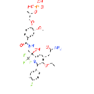 CCOc1c(CC(N)=O)cc([C@@](O)(CNC(=O)c2ccc(OC[C@@H](C)OP(=O)(O)O)c(OC)c2)C(F)(F)F)nc1-c1ccc(F)cc1